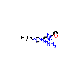 CCCN1CCN(c2cc3nc(-c4ccco4)nn3c(N)n2)CC1